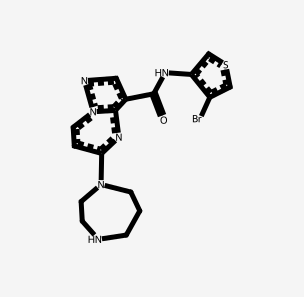 O=C(Nc1cscc1Br)c1cnn2ccc(N3CCCNCC3)nc12